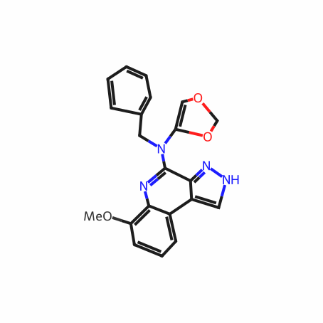 COc1cccc2c1nc(N(Cc1ccccc1)C1=COCO1)c1n[nH]cc12